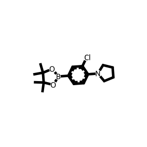 CC1(C)OB(c2ccc(N3CCCC3)c(Cl)c2)OC1(C)C